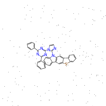 c1ccc(-c2nc(-c3ccccc3)nc(-n3ccnc3-n3c4ccccc4c4cc5sc6ccccc6c5cc43)n2)cc1